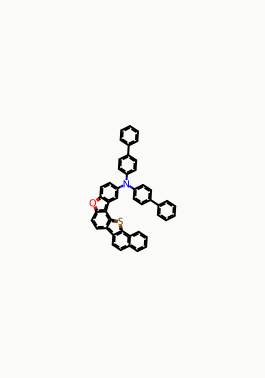 c1ccc(-c2ccc(N(c3ccc(-c4ccccc4)cc3)c3ccc4oc5ccc6c7ccc8ccccc8c7sc6c5c4c3)cc2)cc1